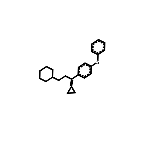 c1ccc(Sc2ccc(C(CCC3CCCCC3)=C3CC3)cc2)cc1